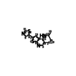 C#Cc1cnc2sc(-c3cncs3)cc2c1NC(C)C